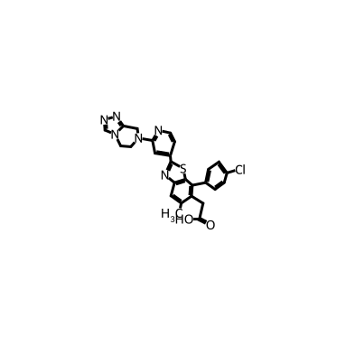 Cc1cc2nc(-c3ccnc(N4CCn5cnnc5C4)c3)sc2c(-c2ccc(Cl)cc2)c1CC(=O)O